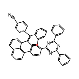 N#Cc1ccc(-c2c(-c3cccc4cccc(-c5ccc(-c6nc(-c7ccccc7)nc(-c7ccccc7)n6)cc5)c34)ccc3ccccc23)cc1